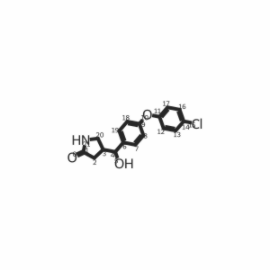 O=C1CC(C(O)c2ccc(Oc3ccc(Cl)cc3)cc2)CN1